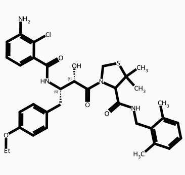 CCOc1ccc(C[C@H](NC(=O)c2cccc(N)c2Cl)[C@H](O)C(=O)N2CSC(C)(C)C2C(=O)NCc2c(C)cccc2C)cc1